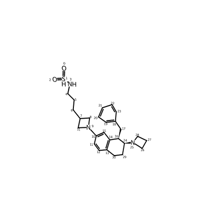 O=[SH](=O)NCCCC1CN(c2ccc3c(c2)[C@@H](Cc2ccccc2)[C@@H](N2CCC2)CC3)C1